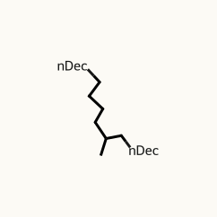 CCCCCCCCCCCCCCC(C)CCCCCCCCCCC